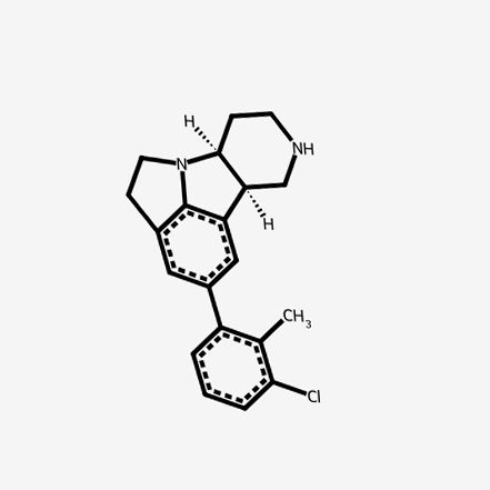 Cc1c(Cl)cccc1-c1cc2c3c(c1)[C@@H]1CNCC[C@@H]1N3CC2